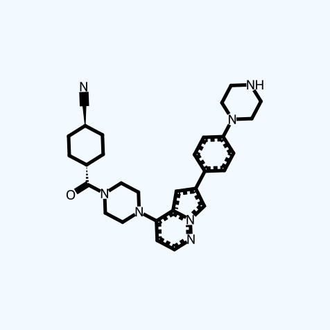 N#C[C@H]1CC[C@H](C(=O)N2CCN(c3ccnn4cc(-c5ccc(N6CCNCC6)cc5)cc34)CC2)CC1